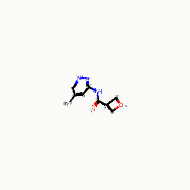 CC(C)c1cnnc(NC(=O)C2COC2)c1